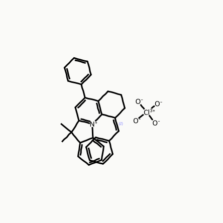 CC1(C)c2ccccc2-[n+]2c1cc(-c1ccccc1)c1c2/C(=C\c2ccccc2)CCC1.[O-][Cl+3]([O-])([O-])[O-]